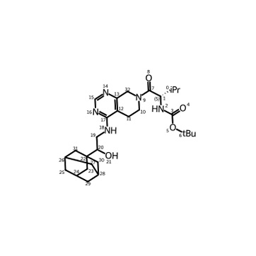 CC(C)[C@H](NC(=O)OC(C)(C)C)C(=O)N1CCc2c(ncnc2NCC(O)C23CC4CC(CC(C4)C2)C3)C1